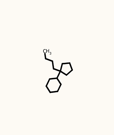 CCCCC1([C]2CCCCC2)CCCC1